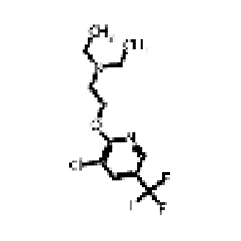 CCN(CC)CCOc1ncc(C(F)(F)F)cc1Cl